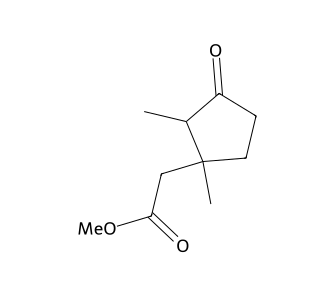 COC(=O)CC1(C)CCC(=O)C1C